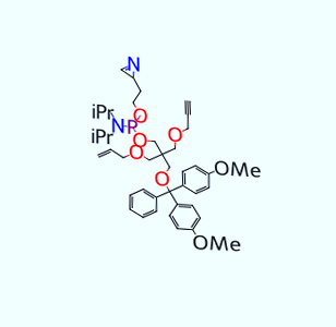 C#CCOCC(COCC=C)(COP(OCCC1C=N1)N(C(C)C)C(C)C)COC(c1ccccc1)(c1ccc(OC)cc1)c1ccc(OC)cc1